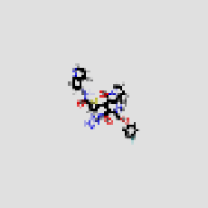 NNC(=O)c1c(COc2ccc(F)cc2)nc2c(c1-c1ccc(C(=O)N[C@@H]3CCc4ncccc43)s1)C(=O)N1CCC[C@@H]21